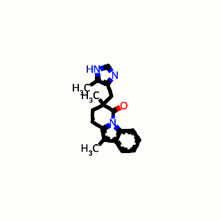 Cc1[nH]cnc1CC1(C)CCc2c(C)c3ccccc3n2C1=O